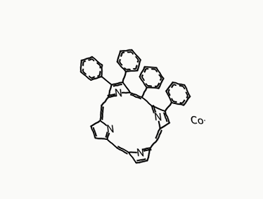 C1=CC2=NC1=CC1=NC(=C(c3ccccc3)C3=NC(=CC4=NC(=C2)C=C4)C=C3c2ccccc2)C(c2ccccc2)=C1c1ccccc1.[Co]